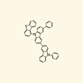 c1ccc(-c2ccc3c(c2)c2cc(-c4ccc5c(c4)c4ccccc4n5-c4ccccc4)ccc2n3-c2cccc3sc4ccccc4c23)cc1